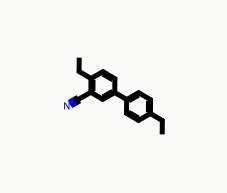 CCc1ccc(-c2ccc(CC)c(C#N)c2)cc1